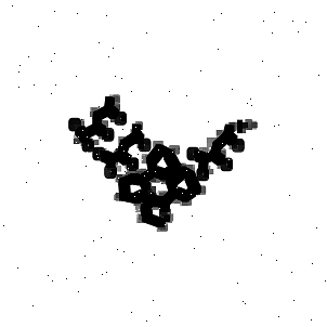 CC(=O)CC(=O)C(=O)[O-].CC(=O)CC(=O)C(=O)[O-].CC(=O)CC(=O)C(=O)[O-].[Ir+3].c1ccc(-c2ccccn2)cc1.c1ccc(-c2ccccn2)cc1